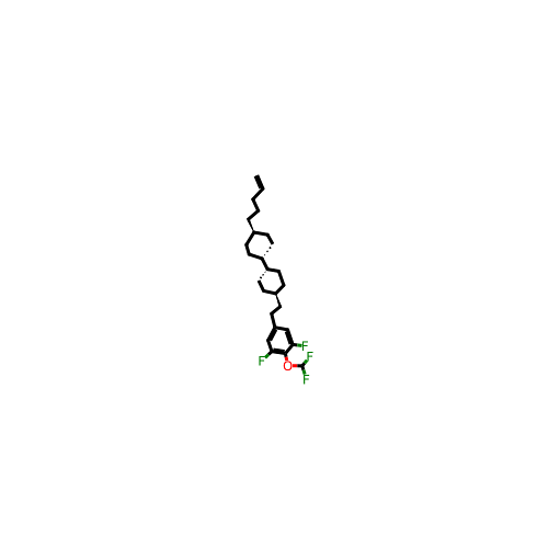 C=CCCC[C@H]1CC[C@H]([C@H]2CC[C@H](CCc3cc(F)c(OC(F)F)c(F)c3)CC2)CC1